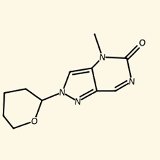 Cn1c(=O)ncc2nn(C3CCCCO3)cc21